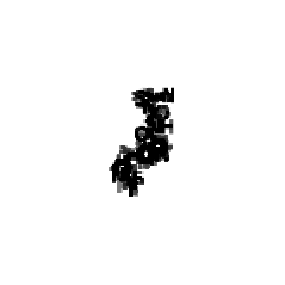 C[C@@H](c1ccnc(C(F)(F)F)c1)c1ccc2nccc(C(=O)NCC(=O)N3CSC[C@H]3C#N)c2c1